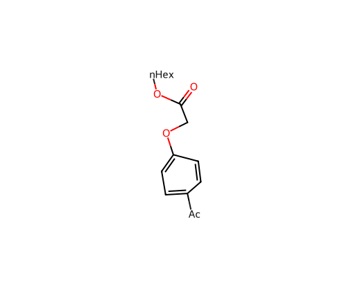 CCCCCCOC(=O)COc1ccc(C(C)=O)cc1